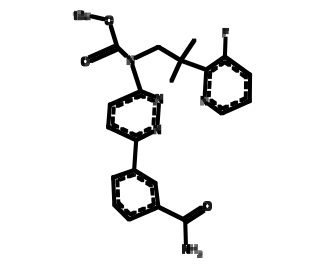 CC(C)(C)OC(=O)N(CC(C)(C)c1ncccc1F)c1ccc(-c2cccc(C(N)=O)c2)nn1